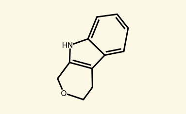 c1ccc2c3c([nH]c2c1)COCC3